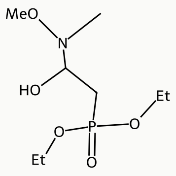 CCOP(=O)(CC(O)N(C)OC)OCC